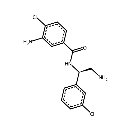 NC[C@H](NC(=O)c1ccc(Cl)c(N)c1)c1cccc(Cl)c1